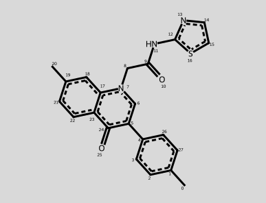 Cc1ccc(-c2cn(CC(=O)Nc3nccs3)c3cc(C)ccc3c2=O)cc1